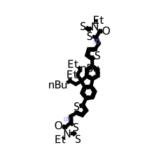 CCCCC(CC)CC1(CC(CC)CCCC)c2cc(-c3ccc(/C=C4\SC(=S)N(CC)C4=O)s3)ccc2-c2ccc(-c3ccc(/C=C4\SC(=S)N(CC)C4=O)s3)cc21